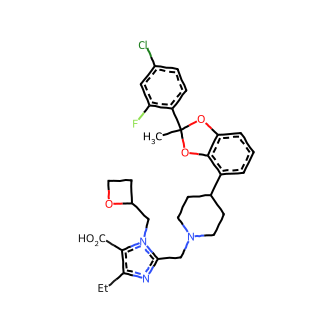 CCc1nc(CN2CCC(c3cccc4c3OC(C)(c3ccc(Cl)cc3F)O4)CC2)n(CC2CCO2)c1C(=O)O